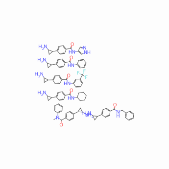 CN(C(=O)c1ccc(C2CC2N)cc1)c1ccccc1.NC1CC1c1ccc(C(=O)NC2CCCCC2)cc1.NC1CC1c1ccc(C(=O)NCc2ccccc2)cc1.NC1CC1c1ccc(C(=O)Nc2cccc(C(F)(F)F)c2)cc1.NC1CC1c1ccc(C(=O)Nc2ccccc2)cc1.NC1CC1c1ccc(C(=O)Nc2cn[nH]c2)cc1